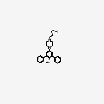 COc1c(-c2ccccc2)cc(N2CCN(CCO)CC2)cc1-c1ccccc1